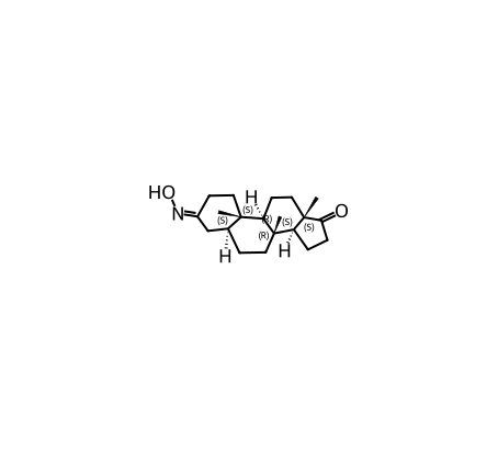 C[C@]12CCC(=NO)C[C@@H]1CC[C@]1(C)[C@@H]2CC[C@]2(C)C(=O)CC[C@@H]12